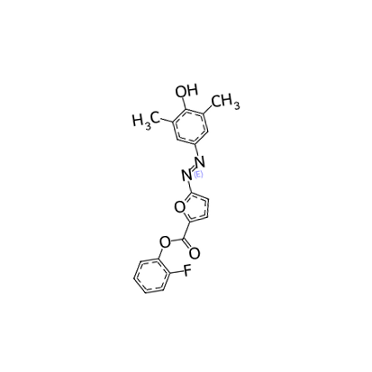 Cc1cc(/N=N/c2ccc(C(=O)Oc3ccccc3F)o2)cc(C)c1O